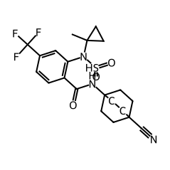 CC1(N(c2cc(C(F)(F)F)ccc2C(=O)NC23CCC(C#N)(CC2)CC3)[SH](=O)=O)CC1